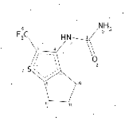 NC(=O)Nc1c(C(F)(F)F)sc2c1CCC2